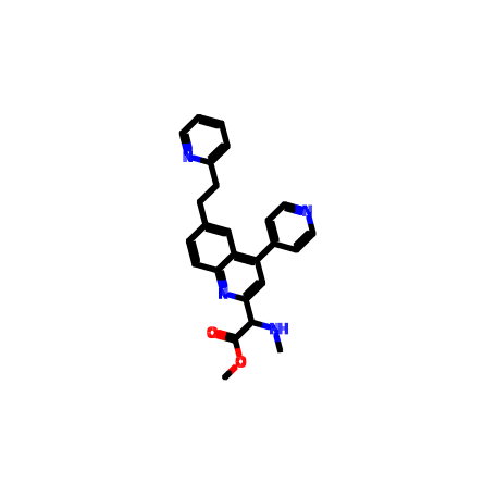 CNC(C(=O)OC)c1cc(-c2ccncc2)c2cc(CCc3ccccn3)ccc2n1